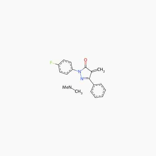 C=C1C(=O)N(c2ccc(F)cc2)N=C1c1ccccc1.CNC